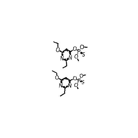 CCOc1cc(OP(=S)(OC)OC)nc(CC)n1.CCOc1cc(OP(=S)(OC)OC)nc(CC)n1